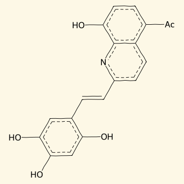 CC(=O)c1ccc(O)c2nc(C=Cc3cc(O)c(O)cc3O)ccc12